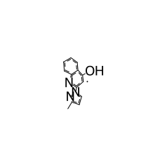 Cc1ccn(-c2[c]c(O)c3ccccc3n2)n1